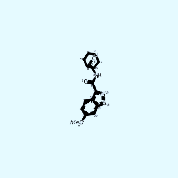 COc1ccc2c(C(=O)NC3CN4CCC3CC4)nsc2c1